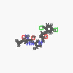 C[C@@H]1CN(Cc2ccc(-c3cc(Cl)ccc3Cl)o2)C[C@H]1NC(=O)c1cc(C2CC2)on1